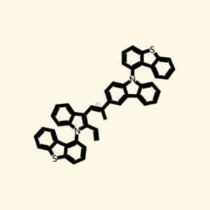 C=Cc1c(/C=C(\C)c2ccc3c(c2)c2ccccc2n3-c2cccc3sc4ccccc4c23)c2ccccc2n1-c1cccc2sc3ccccc3c12